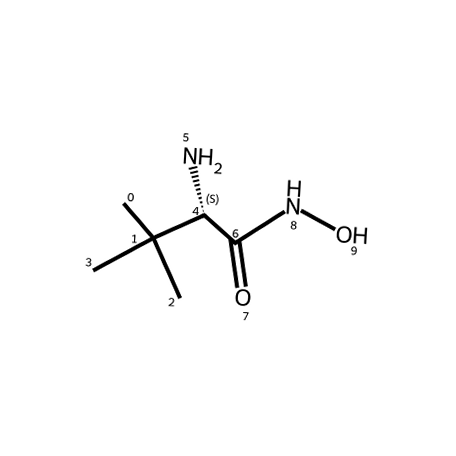 CC(C)(C)[C@H](N)C(=O)NO